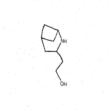 OCCC1CC2CC(C2)N1